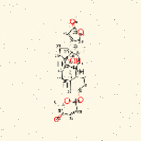 C[C@@H]1O[C@@H](O[C@H]2CC[C@@]3(C)[C@H](CC[C@@H]4[C@@H]3C[C@@H](C)[C@]3(C)[C@@H](C5=CC(=O)OC5)CC[C@]43O)C2)C=CC1=O